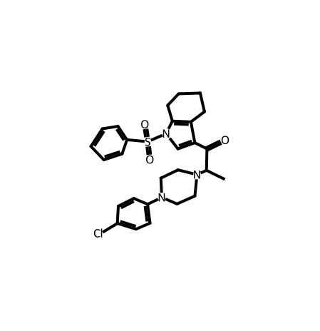 CC(C(=O)c1cn(S(=O)(=O)c2ccccc2)c2c1CCCC2)N1CCN(c2ccc(Cl)cc2)CC1